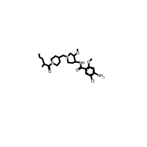 CCCC(C)C(=O)N1CCC(CN2CCC(NC(=O)c3cc(Cl)c(N)cc3OC)C(OC)C2)CC1